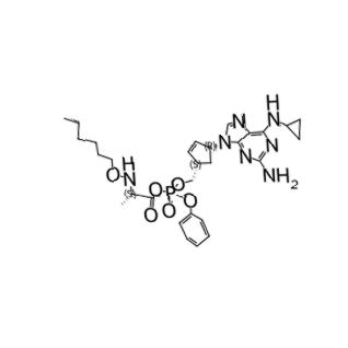 CCCCCCON[C@@H](C)C(=O)OP(=O)(OC[C@@H]1C=C[C@H](n2cnc3c(NC4CC4)nc(N)nc32)C1)Oc1ccccc1